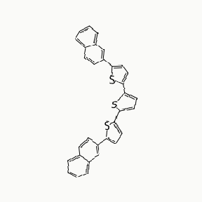 c1ccc2cc(-c3ccc(-c4ccc(-c5ccc(-c6ccc7ccccc7c6)s5)s4)s3)ccc2c1